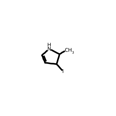 CC1NC=CC1I